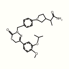 COc1ccc(C2=NN(Cc3ccc(N4CCC(C(C)C(N)=O)C4)cc3)C(=O)SC2)cc1OC(C)C